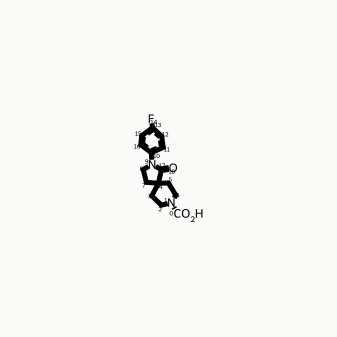 O=C(O)N1CCC2(CC1)CCN(c1ccc(F)cc1)C2=O